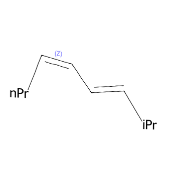 CCC/C=C\C=CC(C)C